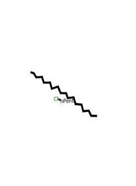 CCCCCCCCCCCCCCCCCC.CCCCCCl